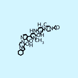 C[C@H]1CN(C2COC2)CCN1c1ccc(NC2=CC(c3ccnc(N4CCn5c(cc6c5CCCC6)C4=O)c3CO)=CN(C)C2O)nc1